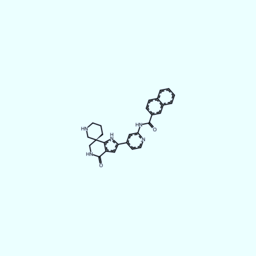 O=C(Nc1cc(-c2cc3c([nH]2)[C@]2(CCCNC2)CNC3=O)ccn1)c1ccc2ccccc2c1